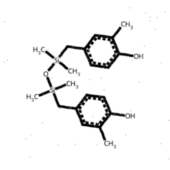 Cc1cc(C[Si](C)(C)O[Si](C)(C)Cc2ccc(O)c(C)c2)ccc1O